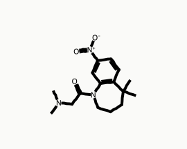 CN(C)CC(=O)N1CCCC(C)(C)c2ccc([N+](=O)[O-])cc21